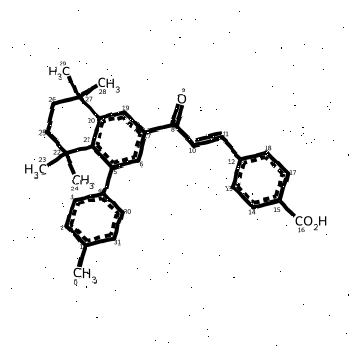 Cc1ccc(-c2cc(C(=O)C=Cc3ccc(C(=O)O)cc3)cc3c2C(C)(C)CCC3(C)C)cc1